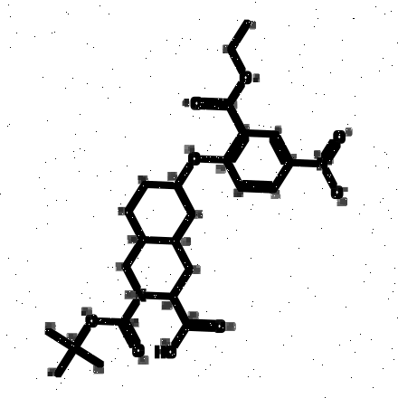 CCOC(=O)c1cc([N+](=O)[O-])ccc1OC1CCC2CN(C(=O)OC(C)(C)C)C(C(=O)O)CC2C1